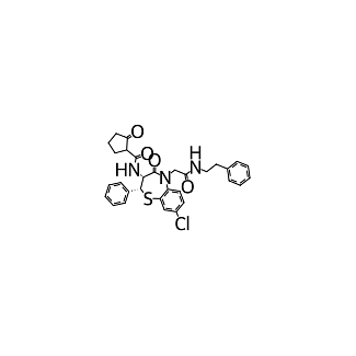 O=C(CN1C(=O)[C@@H](NC(=O)C2CCCC2=O)[C@@H](c2ccccc2)Sc2cc(Cl)ccc21)NCCc1ccccc1